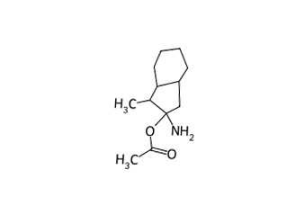 CC(=O)OC1(N)CC2CCCCC2C1C